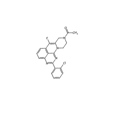 CC(=O)N1CCN2C(=C(F)c3cccc4nc(-c5ccccc5Cl)nc2c34)C1